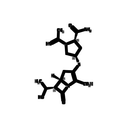 CC(=N)N1C[C@@H](SC2=C(C(=O)O)N3C(=O)[C@H](C(C)O)[C@H]3C2)C[C@H]1C(N)=O